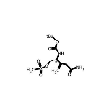 C=C(CC(N)=O)[C@H](COS(C)(=O)=O)NC(=O)OC(C)(C)C